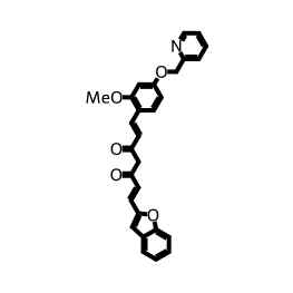 COc1cc(OCc2ccccn2)ccc1/C=C/C(=O)CC(=O)/C=C/c1cc2ccccc2o1